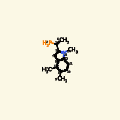 C=C(P)c1cc2c(C)c(C)ccc2n1C